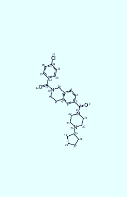 O=C(c1ccc2c(c1)CCN(C(=O)c1ccc(Cl)cc1)C2)N1CCN(C2CCCC2)CC1